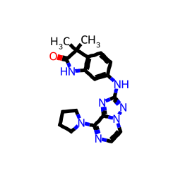 CC1(C)C(=O)Nc2cc(Nc3nc4c(N5CCCC5)nccn4n3)ccc21